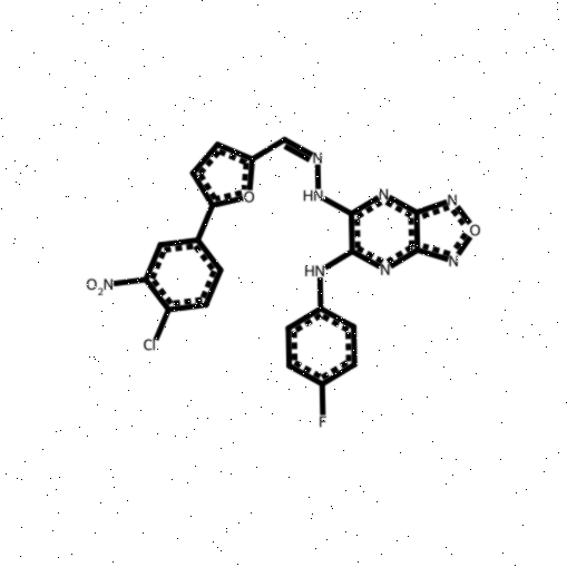 O=[N+]([O-])c1cc(-c2ccc(/C=N\Nc3nc4nonc4nc3Nc3ccc(F)cc3)o2)ccc1Cl